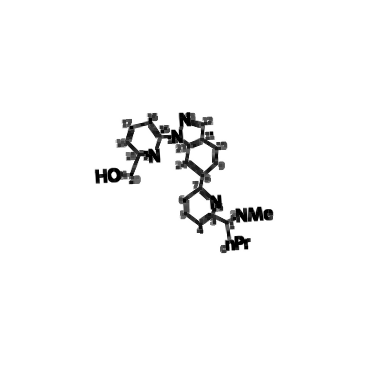 CCCC(NC)c1cccc(-c2ccc3cnn(-c4cccc(CO)n4)c3c2)n1